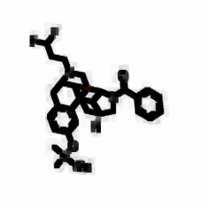 CC(C)(C)[Si](C)(C)Oc1ccc2c(c1)C13CCN(CCC(F)F)C(C2)C12CCC1C3[C@@H](CN1C(=O)c1ccccc1)C2